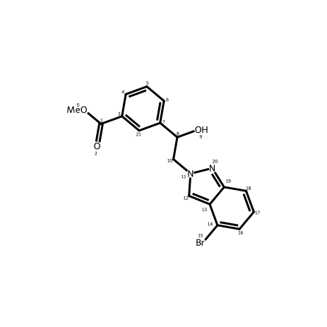 COC(=O)c1cccc(C(O)Cn2cc3c(Br)cccc3n2)c1